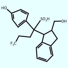 O=S(=O)(O)C(CCC(F)(F)F)(c1ccc(O)cc1)C1c2ccccc2CC1CO